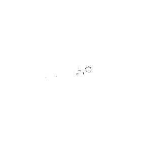 CCCCCCCCCCCCNC(=O)N(N)C(=O)c1ccc(O)cc1